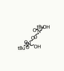 CC(C)(C)CS(=O)(=O)N(CCO)CCOOCCN(CCO)C(=O)C(C)(C)C